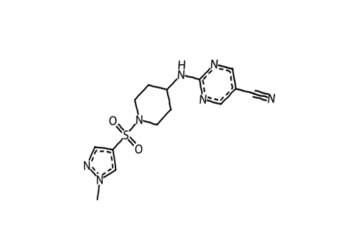 Cn1cc(S(=O)(=O)N2CCC(Nc3ncc(C#N)cn3)CC2)cn1